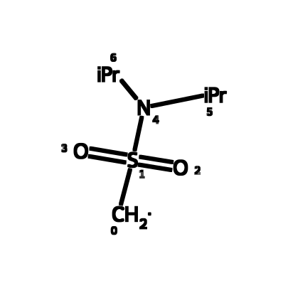 [CH2]S(=O)(=O)N(C(C)C)C(C)C